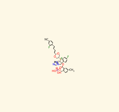 Cc1ccc(COP(=O)(O)O)c(C(=O)O[C@@](Cn2cncn2)(c2ccc(F)cc2F)[C@@H](C)S[C@H]2CO[C@H](/C=C/C=C/c3ccc(C#N)cc3F)OC2)c1